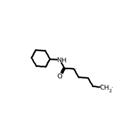 [CH2]CCC[CH]C(=O)NC1CCCCC1